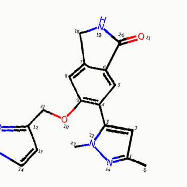 Cc1cc(-c2cc3c(cc2OCc2ccn(C)n2)CNC3=O)n(C)n1